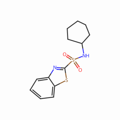 O=S(=O)(NC1CCCCC1)c1nc2ccccc2s1